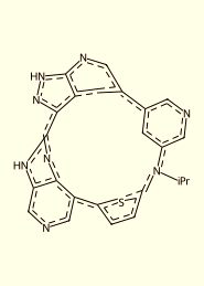 CC(C)n1c2cncc(c2)c2cnc3[nH]nc(c4nc5c(cncc5c5ccc1s5)[nH]4)c3c2